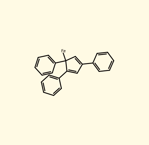 [Fe][C]1(c2ccccc2)C=C(c2ccccc2)C=C1c1ccccc1